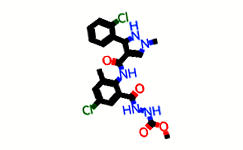 COC(=O)NNC(=O)c1cc(Cl)cc(C)c1NC(=O)C1=CN(C)NC1c1ccccc1Cl